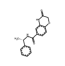 C[C@H](NC(=O)c1ccc2c(c1)NC(=O)CO2)c1ccccc1